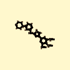 COc1cc(-c2cc(Nc3ccnc(N4CCOCC4)n3)on2)cc(OC)c1OC